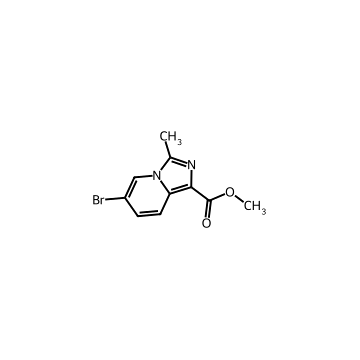 COC(=O)c1nc(C)n2cc(Br)ccc12